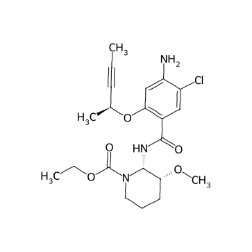 CC#C[C@H](C)Oc1cc(N)c(Cl)cc1C(=O)N[C@@H]1[C@H](OC)CCCN1C(=O)OCC